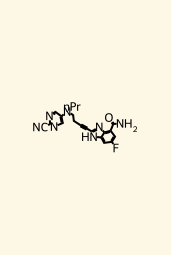 CCCN(CCC#Cc1nc2c(C(N)=O)cc(F)cc2[nH]1)c1cnc(C#N)nc1